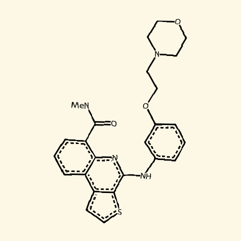 CNC(=O)c1cccc2c1nc(Nc1cccc(OCCN3CCOCC3)c1)c1sccc12